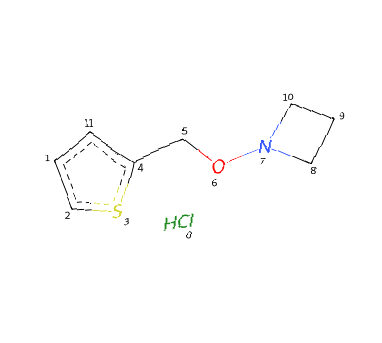 Cl.c1csc(CON2CCC2)c1